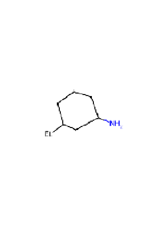 CCC1C[CH]CC(N)C1